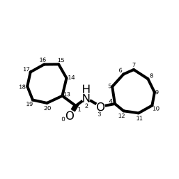 O=C(NOC1CCCCCCCC1)C1CCCCCCC1